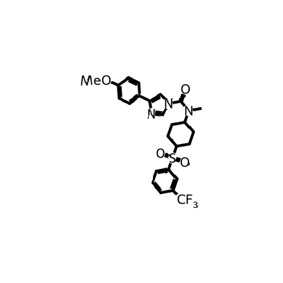 COc1ccc(-c2cn(C(=O)N(C)C3CCC(S(=O)(=O)c4cccc(C(F)(F)F)c4)CC3)cn2)cc1